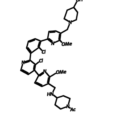 COc1nc(-c2cccc(-c3nccc(-c4ccc(CNC5CCN(C(C)=O)CC5)c(OC)n4)c3Cl)c2Cl)ccc1CN1CCC(O)CC1